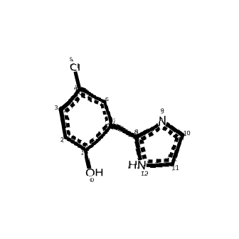 Oc1ccc(Cl)cc1-c1ncc[nH]1